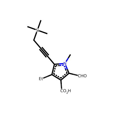 CCc1c(C(=O)O)c(C=O)n(C)c1C#CC[Si](C)(C)C